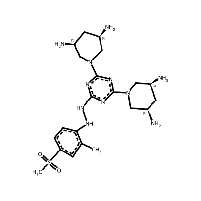 Cc1cc(S(C)(=O)=O)ccc1NNc1nc(N2C[C@H](N)C[C@H](N)C2)nc(N2C[C@H](N)C[C@H](N)C2)n1